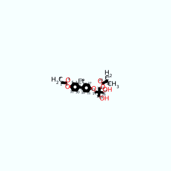 C=CC(=O)Oc1ccc(-c2ccc(OCC(CO)(CO)COC(=O)C(=C)C)cc2CC)cc1